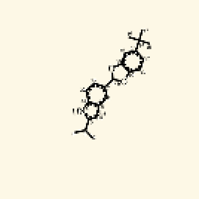 CC(C)c1nc2cc(C3Oc4ccc(C(C)(C)C)cc4O3)ccc2[nH]1